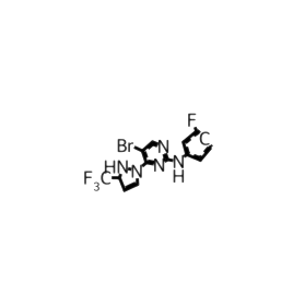 Fc1cccc(Nc2ncc(Br)c(N3C=CC(C(F)(F)F)N3)n2)c1